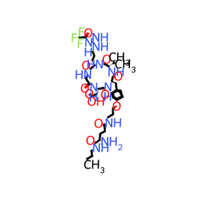 CCCCNC(=O)[C@@H](N)CCC(=O)NCCCOc1ccc(C[C@H]2NC(=O)[C@H](CC(=O)O)NC(=O)CNC(=O)[C@H](CCCNC(=N)NC(=O)C(F)(F)F)NC(=O)[C@H](C(C)C)NC2=O)cc1